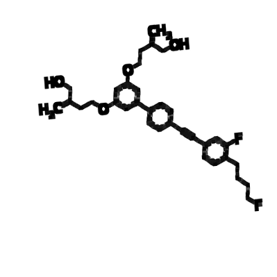 C=C(CO)CCOc1cc(OCCC(=C)CO)cc(-c2ccc(C#Cc3ccc(CCCCF)c(F)c3)cc2)c1